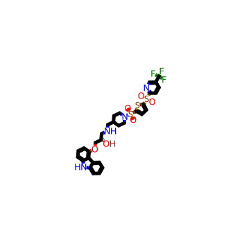 O=S(=O)(c1ccc(C(F)(F)F)cn1)c1ccc(S(=O)(=O)N2CCC(CNC[C@H](O)COc3cccc4[nH]c5ccccc5c34)CC2)s1